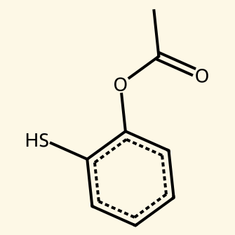 CC(=O)Oc1ccccc1S